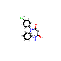 O=C1CC(=O)N(c2ccc(Cl)cc2)c2ccccc2N1